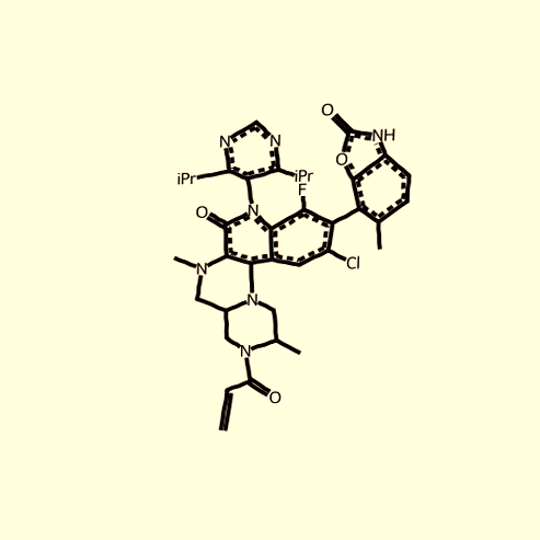 C=CC(=O)N1CC2CN(C)c3c(c4cc(Cl)c(-c5c(C)ccc6[nH]c(=O)oc56)c(F)c4n(-c4c(C(C)C)ncnc4C(C)C)c3=O)N2CC1C